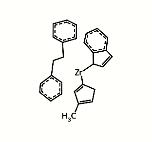 CC1=CC[C]([Zr][CH]2C=Cc3ccccc32)=C1.c1ccc(CCc2ccccc2)cc1